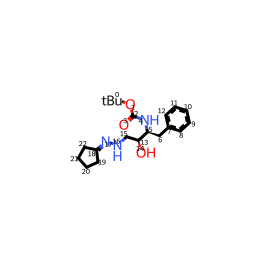 CC(C)(C)OC(=O)N[C@@H](Cc1ccccc1)[C@@H](O)CNN=C1CCCC1